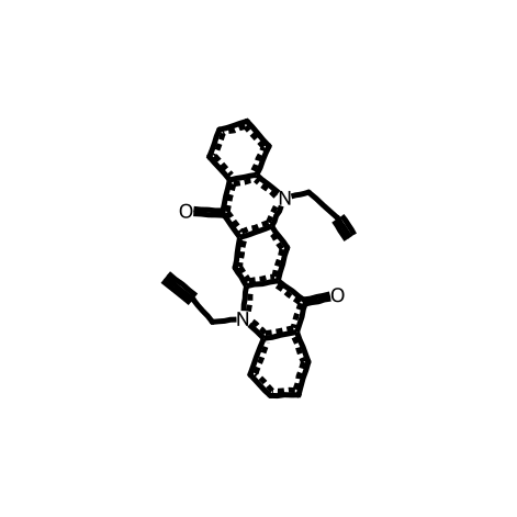 C#CCn1c2ccccc2c(=O)c2cc3c(cc21)c(=O)c1ccccc1n3CC#C